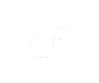 C=C[Si]1(C=C)CCCCCS1